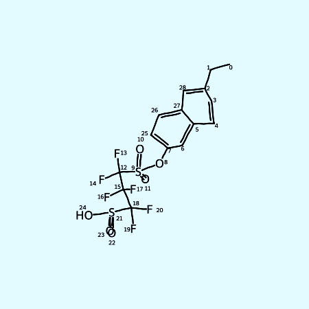 CCc1ccc2cc(OS(=O)(=O)C(F)(F)C(F)(F)C(F)(F)S(=O)(=O)O)ccc2c1